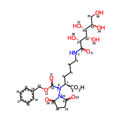 O=C(NCCCC[C@@H](C(=O)O)N(C(=O)OCc1ccccc1)N1C(=O)CCC1=O)[C@H](O)[C@@H](O)[C@H](O)[C@H](O)CO